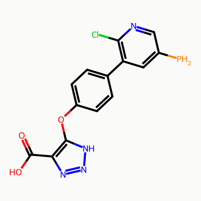 O=C(O)c1nn[nH]c1Oc1ccc(-c2cc(P)cnc2Cl)cc1